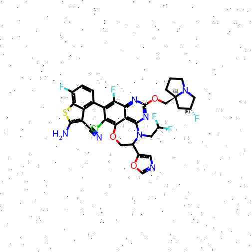 N#Cc1c(N)sc2c(F)ccc(-c3c(Cl)c4c5c(nc(OC[C@@]67CCCN6C[C@H](F)C7)nc5c3F)N(CC(F)F)C(c3cnco3)CO4)c12